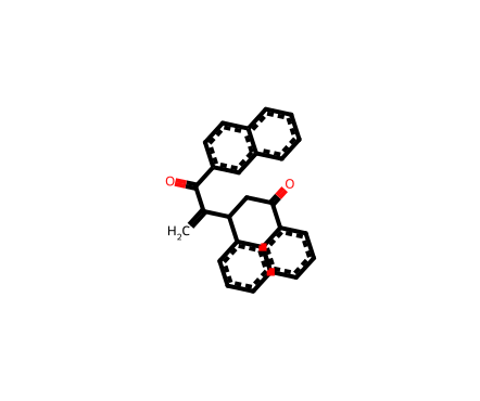 C=C(C(=O)c1ccc2ccccc2c1)C(CC(=O)c1ccccc1)c1ccccc1